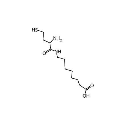 NC(CCS)C(=O)NCCCCCCCC(=O)O